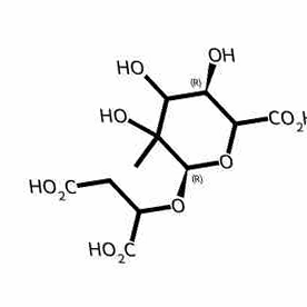 CC1(O)C(O)[C@@H](O)C(C(=O)O)O[C@H]1OC(CC(=O)O)C(=O)O